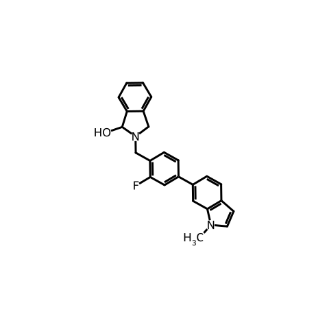 Cn1ccc2ccc(-c3ccc(CN4Cc5ccccc5C4O)c(F)c3)cc21